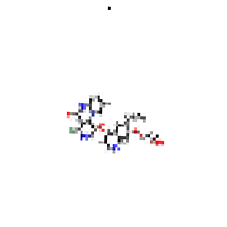 COc1cc2c(Oc3cnc(F)c(C(N)=O)c3-c3ccccc3)ccnc2cc1OCCO